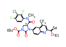 CCOC(=[Se])c1cc(C(F)(F)F)c2cc(N3C(=O)N(C(=O)OC(C)(C)C)C[C@H]3C(=O)N(C)c3ccc(F)c(Cl)c3F)ccc2n1